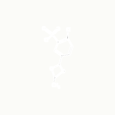 CC1OC(c2ccc(Cl)c(S(=O)(=O)Cl)c2)O1